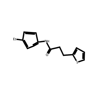 CCc1ccc(NC(=O)CCc2cccs2)cc1